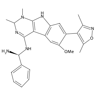 COc1cc2c3c([nH]c2cc1-c1c(C)noc1C)N(C)C(C)N=C3N[C@H](N)c1ccccc1